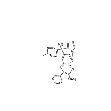 COc1nc2ccc(C(N=O)(c3ccc(C)cc3)c3cncn3C)cc2cc1-c1ccccc1